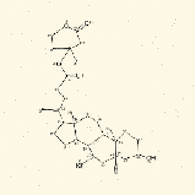 C[C@@H](CCC(=O)OC1(C)CCOC(=O)C1)C1CCC2C3C(O)C[C@H]4CC(O)CCC4(C)C3CCC21C